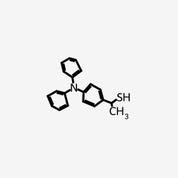 CC(S)c1ccc(N(c2ccccc2)c2ccccc2)cc1